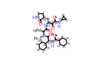 CCC[C@@H](C(=O)N[C@@H](C[C@@H]1CCNC1=O)C(=O)C(=O)NC1CC1)N(C)C(=O)[C@H](NC(=O)C1CCCCC1)C1CCCCC1